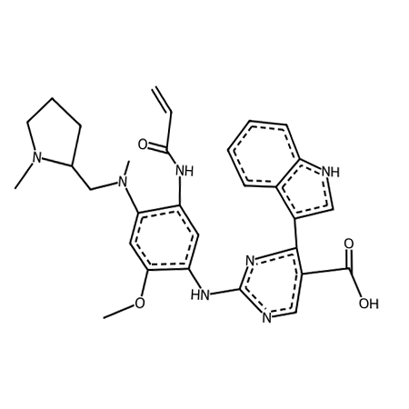 C=CC(=O)Nc1cc(Nc2ncc(C(=O)O)c(-c3c[nH]c4ccccc34)n2)c(OC)cc1N(C)CC1CCCN1C